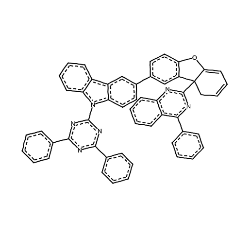 C1=CCC2(c3nc(-c4ccccc4)c4ccccc4n3)C(=C1)Oc1ccc(-c3ccc4c(c3)c3ccccc3n4-c3nc(-c4ccccc4)nc(-c4ccccc4)n3)cc12